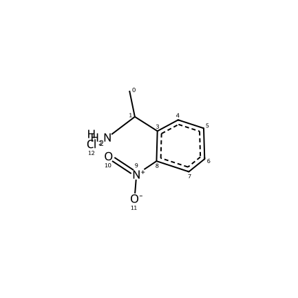 CC(N)c1ccccc1[N+](=O)[O-].Cl